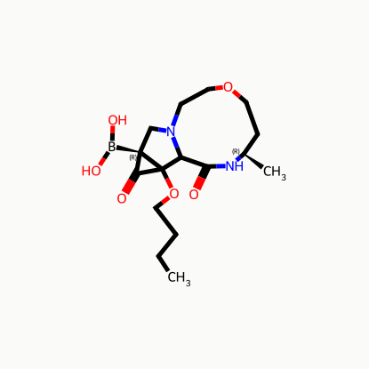 CCCCOC12C(=O)[C@]1(B(O)O)CN1CCOCC[C@@H](C)NC(=O)C12